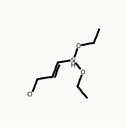 CCO[SiH](C=CCCl)OCC